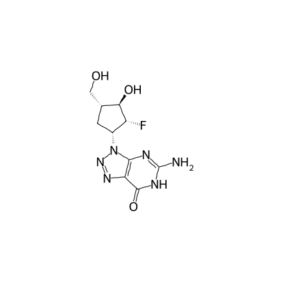 Nc1nc2c(nnn2[C@@H]2C[C@H](CO)[C@@H](O)[C@@H]2F)c(=O)[nH]1